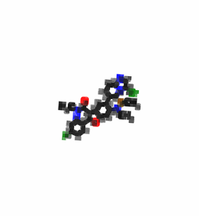 CNC(=O)c1c(-c2ccc(F)cc2)oc2cc(N(C)SC)c(-c3ccc4ncc(Br)n4c3)cc12